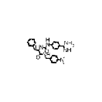 CN(C)c1ccc(CNC(=O)C(Cc2ccccc2)NC(=O)Nc2ccc(C(=N)N)cc2)cc1